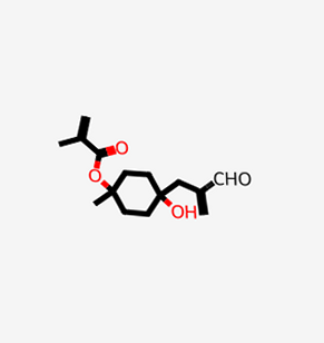 C=C(C=O)CC1(O)CCC(C)(OC(=O)C(=C)C)CC1